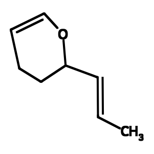 CC=CC1CCC=CO1